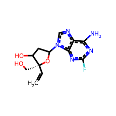 C=C[C@]1(CO)OC(n2cnc3c(N)nc(F)nc32)CC1O